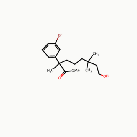 COC(=O)C(C)(CCCC(C)(C)CCO)c1cccc(Br)c1